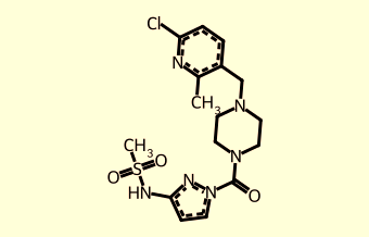 Cc1nc(Cl)ccc1CN1CCN(C(=O)n2ccc(NS(C)(=O)=O)n2)CC1